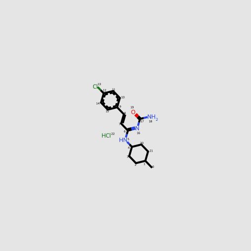 CC1CCC(NC(C=Cc2ccc(Cl)cc2)=NC(N)=O)CC1.Cl